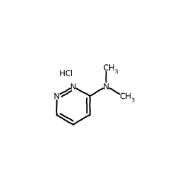 CN(C)c1cccnn1.Cl